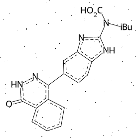 CCC(C)N(C(=O)O)c1nc2cc(-c3n[nH]c(=O)c4ccccc34)ccc2[nH]1